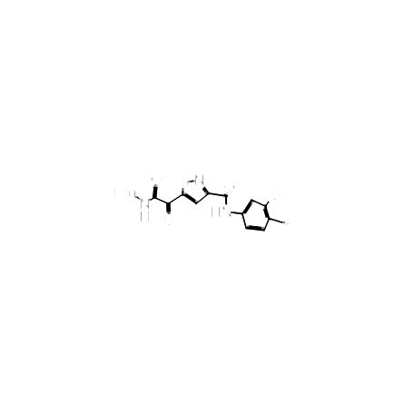 CC(C)(C)NC(=O)C(=O)c1cc(C(=O)Nc2ccc(F)c(Cl)c2)no1